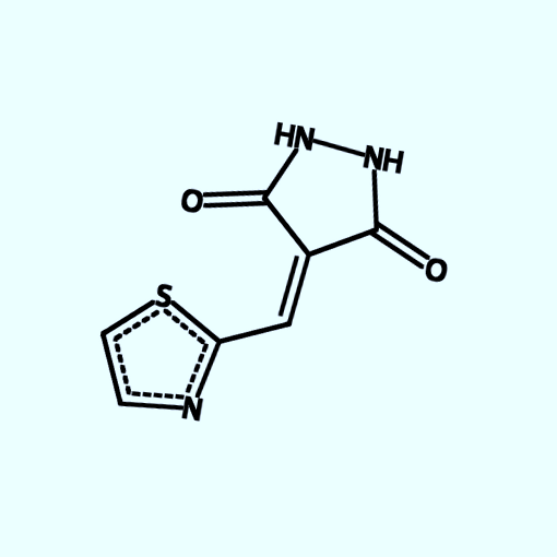 O=C1NNC(=O)C1=Cc1nccs1